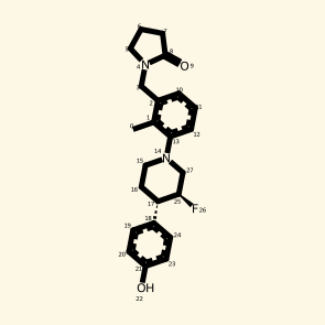 Cc1c(CN2CCCC2=O)cccc1N1CC[C@@H](c2ccc(O)cc2)[C@H](F)C1